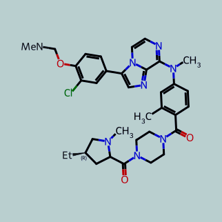 CC[C@@H]1CC(C(=O)N2CCN(C(=O)c3ccc(N(C)c4nccn5c(-c6ccc(OCNC)c(Cl)c6)cnc45)cc3C)CC2)N(C)C1